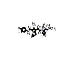 CN/C=C(\N)C1(NC(=O)C(=O)c2c(C)c(C(=O)Nc3ccc(F)c(F)c3)n3c2CC2CC23)CC(F)(F)C1